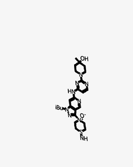 CCC(C)n1nc([N+]2([O-])CCS(=N)CC2)c2cnc(Nc3ccnc(N4CCC(C)(O)CC4)n3)cc21